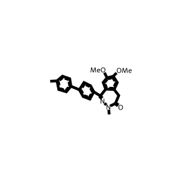 COc1cc2c(cc1OC)C(c1ccc(-c3ccc(C)cc3)cc1)=NN(C)C(=O)C2